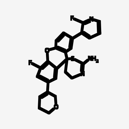 NC1=NCCC2(S1)c1cc(-c3cccnc3F)ccc1Oc1c(F)cc(C3=CCCOC3)cc12